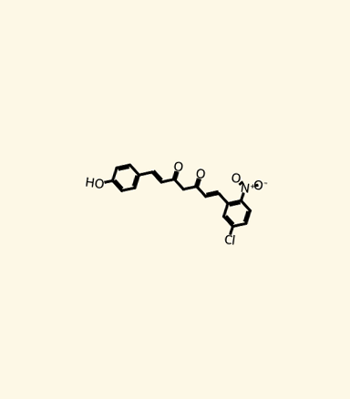 O=C(C=Cc1ccc(O)cc1)CC(=O)C=Cc1cc(Cl)ccc1[N+](=O)[O-]